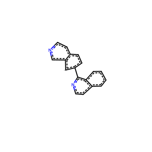 [c]1c(-c2nccc3ccccc23)ccc2ccncc12